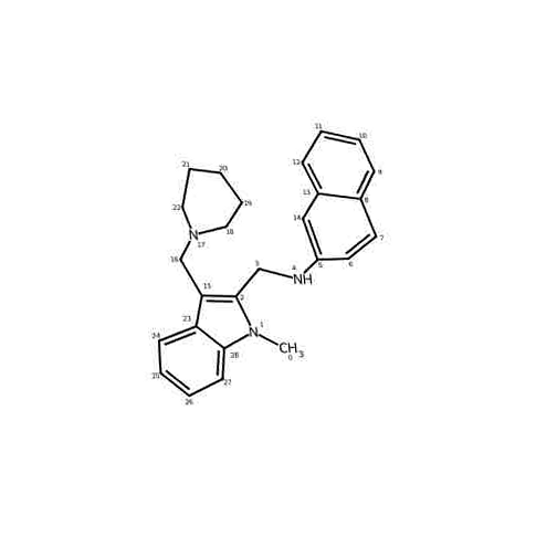 Cn1c(CNc2ccc3ccccc3c2)c(CN2CCCCC2)c2ccccc21